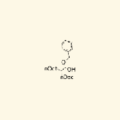 CCCCCCCCCCC(CCCCCCCC)C(O)OCc1ccccc1